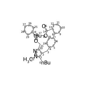 CCCCc1c(Cc2ccc(-c3ccccc3C(=O)OC(C)(C)C)cc2)c(COCc2ccccc2)nn1C